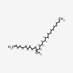 CCCCCCCCCCCCCCC[CH]C(C)CCCCCCCCCC